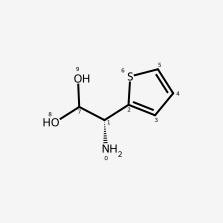 N[C@@H](c1cccs1)C(O)O